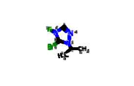 CC(C)N1N=CN(F)C1Br